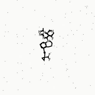 Cc1nnc2nc(N3CCCCc4c(C#CC5(C(F)F)CC5)cccc43)c3c(F)cncc3n12